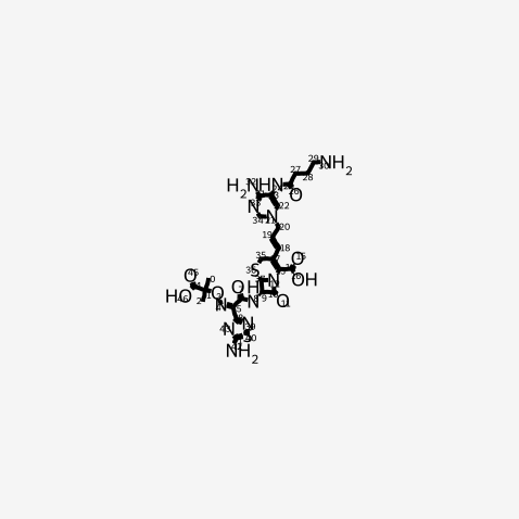 CC(C)(O/N=C(\C(=O)N[C@@H]1C(=O)N2C(C(=O)O)=C(/C=C/CN3C=C(NC(=O)CCCN)C(N)=NC3)CSC12)c1nsc(N)n1)C(=O)O